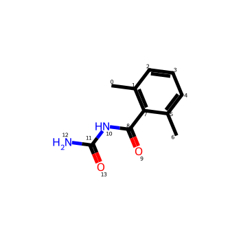 Cc1cccc(C)c1C(=O)NC(N)=O